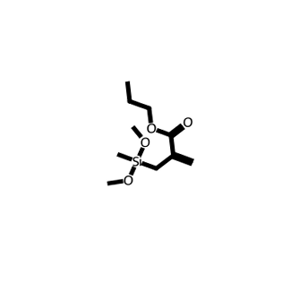 C=C(C[Si](C)(OC)OC)C(=O)OCCC